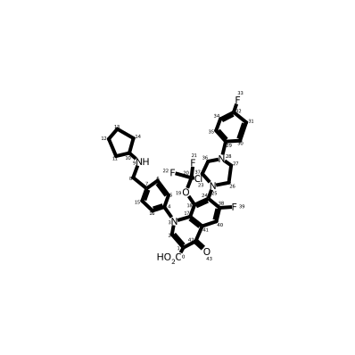 O=C(O)c1cn(-c2ccc(CNC3CCCC3)cc2)c2c(OC(F)(F)Cl)c(N3CCN(c4ccc(F)cc4)CC3)c(F)cc2c1=O